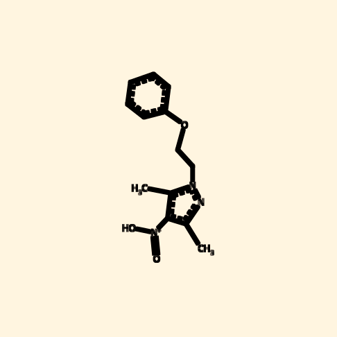 Cc1nn(CCOc2ccccc2)c(C)c1[N+](=O)O